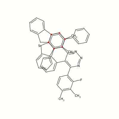 Cc1ccc(-c2nnnc(-c3c(-c4ccccc4)ccc4[se]c5ccccc5c34)c2-c2ccccc2-c2c(C)c(C)cc3c2Cc2ccccc2-3)c(F)c1C